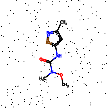 CON(C)C(=O)Nc1cc(C)ns1